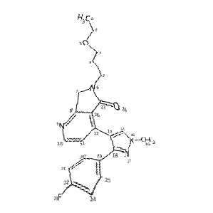 CCOCCCN1Cc2nccc(-c3cn(C)nc3-c3ccc(F)cc3)c2C1=O